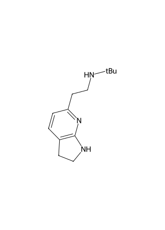 CC(C)(C)NCCc1ccc2c(n1)NCC2